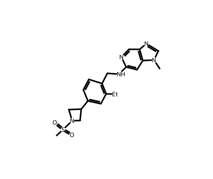 CCc1cc(C2CN(S(C)(=O)=O)C2)ccc1CNc1cc2c(cn1)ncn2C